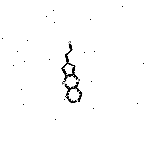 O=CC=C1C=c2nc3ccccc3nc2=C1